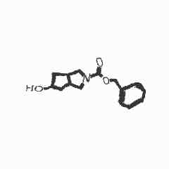 O=C(OCc1ccccc1)N1CC2CC(O)CC2C1